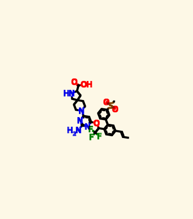 C/C=C/c1ccc(C(Oc2cc(N3CCC4(CC3)CNC(C(=O)O)C4)nc(N)n2)C(F)(F)F)c(-c2cccc(S(C)(=O)=O)c2)c1